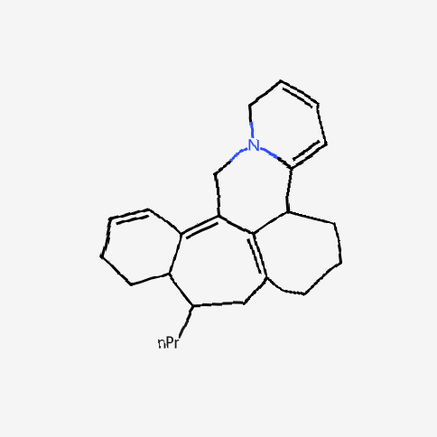 CCCC1CC2=C3C(=C4C=CCCC41)CN1CC=CC=C1C3CCC2